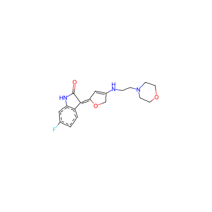 O=C1Nc2cc(F)ccc2C1=C1C=C(NCCN2CCOCC2)CO1